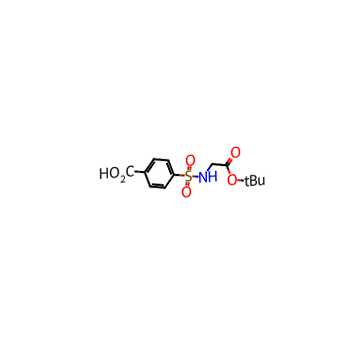 CC(C)(C)OC(=O)CNS(=O)(=O)c1ccc(C(=O)O)cc1